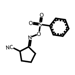 N#CC1CCCC1=NOS(=O)(=O)c1ccccc1